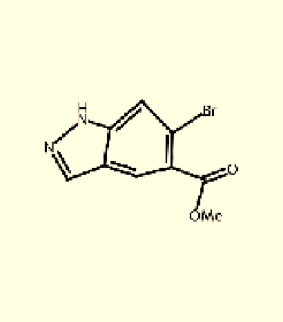 COC(=O)c1cc2cn[nH]c2cc1Br